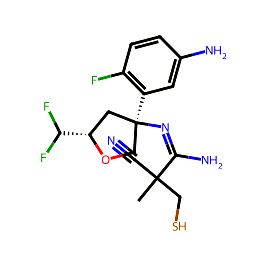 CC(C#N)(CS)/C(N)=N\[C@@]1(c2cc(N)ccc2F)CO[C@H](C(F)F)C1